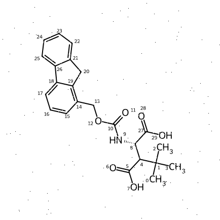 CC(C)(C)C(C(=O)O)[C@H](NC(=O)OCc1cccc2c1Cc1ccccc1-2)C(=O)O